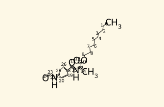 CCCCCCCCCCOC(=O)[C@H](C)NC(=O)c1ccc(NC=O)cc1